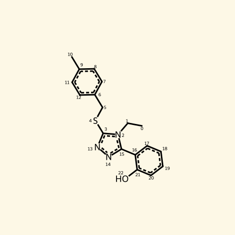 CCn1c(SCc2ccc(C)cc2)nnc1-c1ccccc1O